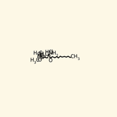 CCCCCCCCCCCC(=O)N(CCC[Si](OC)(OC)OC)C(C)N.Cl